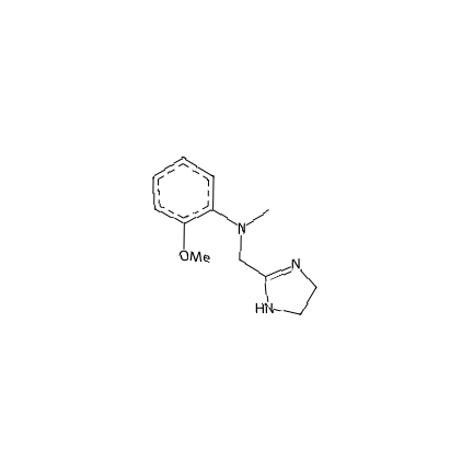 COc1ccccc1N(C)CC1=NCCN1